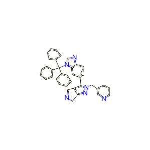 C1=NCc2nn(Cc3cccnc3)c(-c3ccc4ncn(C(c5ccccc5)(c5ccccc5)c5ccccc5)c4c3)c21